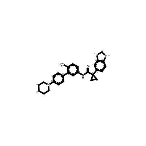 Cc1ccc(NC(=O)C2(c3ccc4c(c3)OCO4)CC2)cc1-c1ccc(N2CCCCC2)cc1